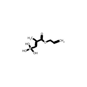 C=CCOC(=O)C(C)=C[Si](O)(O)O